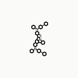 c1ccc(-c2ccc(N(c3ccccc3)c3ccc4c(c3)sc3c4c4cc5ccc(N(c6ccccc6)c6ccc(-c7ccccc7)cc6)cc5c5c6ccccc6n3c45)cc2)cc1